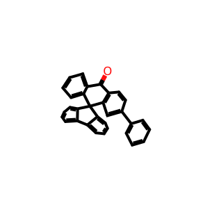 O=C1c2ccccc2C2(c3cc(-c4ccccc4)ccc31)c1ccccc1-c1ccccc12